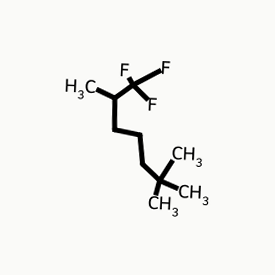 CC(CCCC(C)(C)C)C(F)(F)F